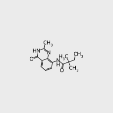 CCC(C)(C)C(=O)Nc1cccc2c(=O)[nH]c(C)nc12